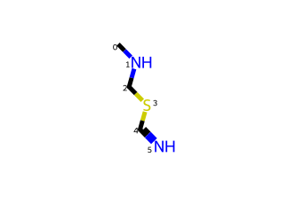 CNCSC=N